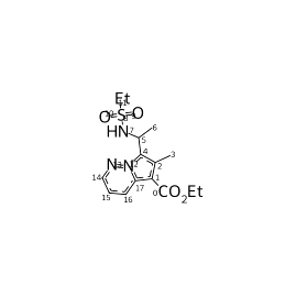 CCOC(=O)c1c(C)c(C(C)NS(=O)(=O)CC)n2ncccc12